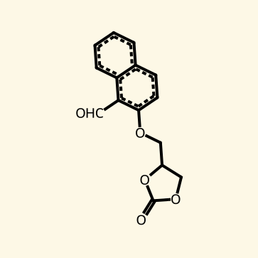 O=Cc1c(OCC2COC(=O)O2)ccc2ccccc12